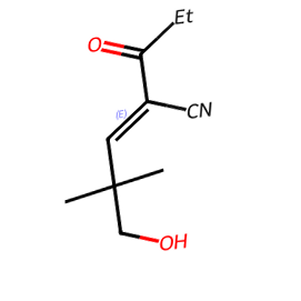 CCC(=O)/C(C#N)=C/C(C)(C)CO